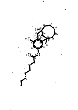 CCCCCCCC(=O)Oc1cc(F)c2c(c1)[C@@]1(C)CCCCC[C@@H](C2)[C@@H]1N